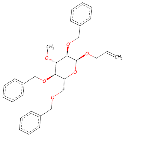 C=CCO[C@H]1O[C@H](COCc2ccccc2)[C@@H](OCc2ccccc2)[C@H](OC)[C@H]1OCc1ccccc1